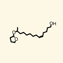 CC(CCCCCC/C=C\CCCCO)OC1CCCO1